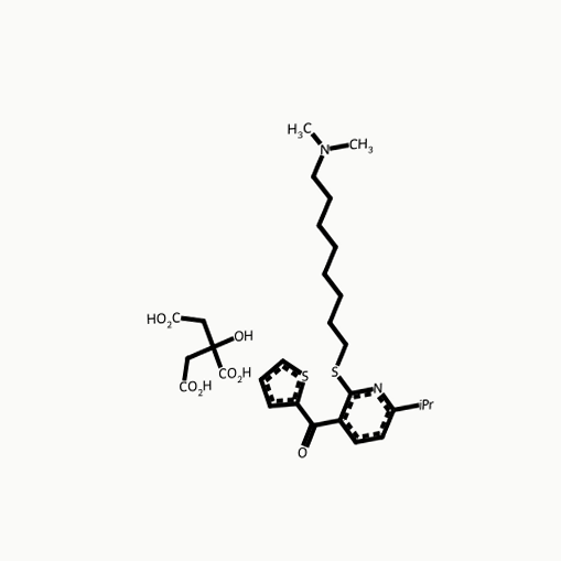 CC(C)c1ccc(C(=O)c2cccs2)c(SCCCCCCCCN(C)C)n1.O=C(O)CC(O)(CC(=O)O)C(=O)O